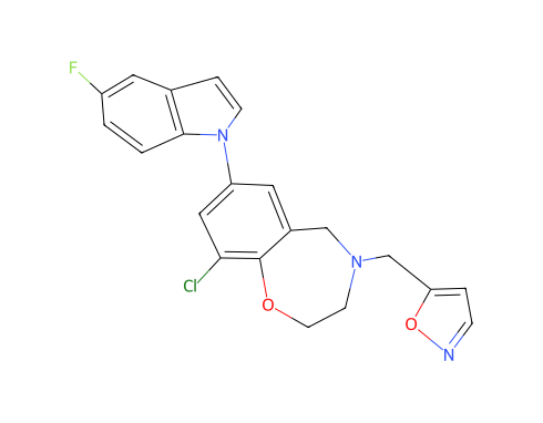 Fc1ccc2c(ccn2-c2cc(Cl)c3c(c2)CN(Cc2ccno2)CCO3)c1